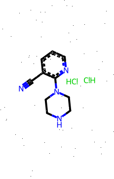 Cl.Cl.N#Cc1cccnc1N1CCNCC1